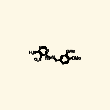 COc1ccc(C=NNc2ncnc(N)c2[N+](=O)[O-])cc1OC